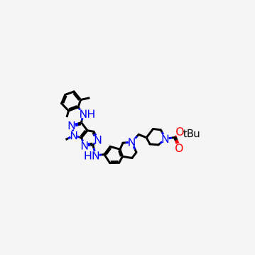 Cc1cccc(C)c1Nc1nn(C)c2nc(Nc3ccc4c(c3)CN(CC3CCN(C(=O)OC(C)(C)C)CC3)CC4)ncc12